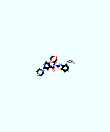 COc1cccc2sc(N(C(=O)c3ccnc(N4CCOCC4)c3)C3COCCO3)nc12